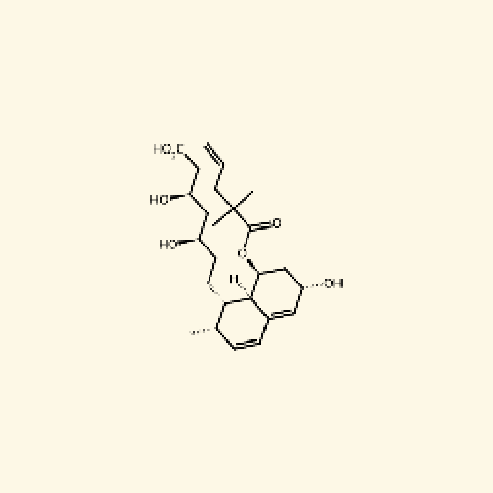 C=CCC(C)(C)C(=O)O[C@H]1C[C@H](O)C=C2C=C[C@H](C)[C@H](CC[C@@H](O)C[C@@H](O)CC(=O)O)[C@H]21